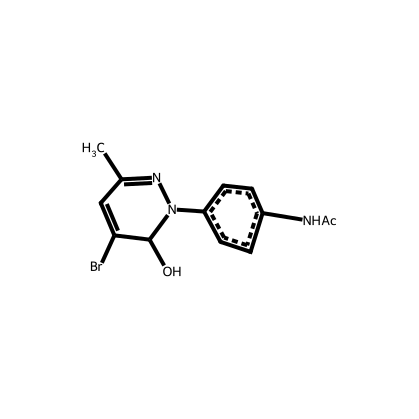 CC(=O)Nc1ccc(N2N=C(C)C=C(Br)C2O)cc1